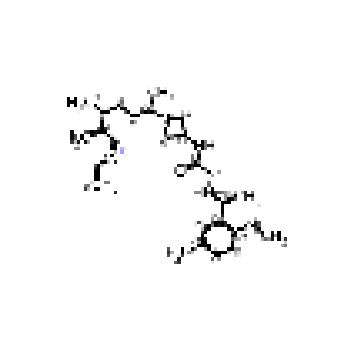 C=C/N=C\C(=C)C(C)CCC(C)N1CC(NC(=O)CNC(=C)c2cc(C(F)(F)F)ccc2N=C)C1